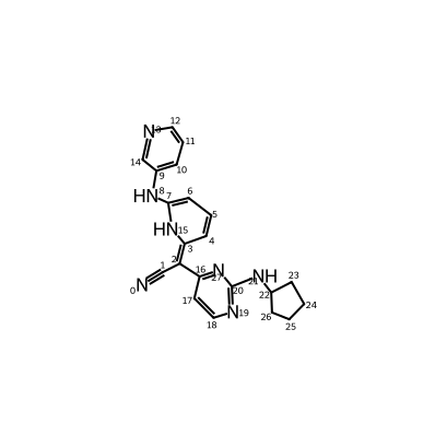 N#C/C(=C1/C=CC=C(Nc2cccnc2)N1)c1ccnc(NC2CCCC2)n1